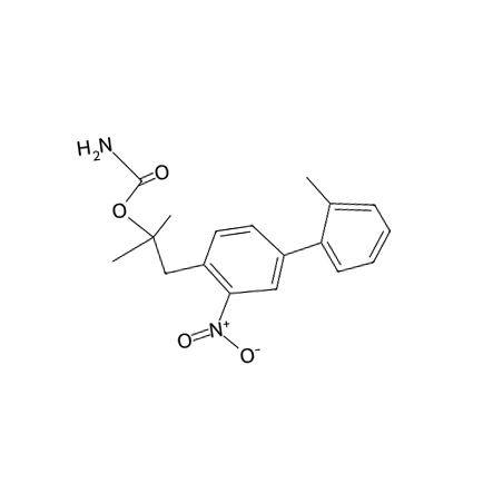 Cc1ccccc1-c1ccc(CC(C)(C)OC(N)=O)c([N+](=O)[O-])c1